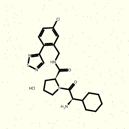 Cl.N[C@@H](C(=O)N1CCC[C@H]1C(=O)NCc1cc(Cl)ccc1-c1cnsn1)C1CCCCC1